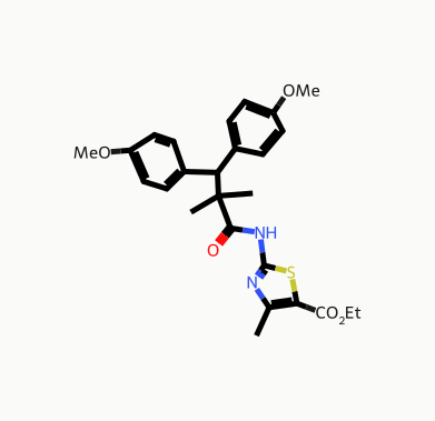 CCOC(=O)c1sc(NC(=O)C(C)(C)C(c2ccc(OC)cc2)c2ccc(OC)cc2)nc1C